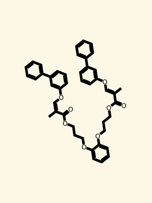 CC(=COc1cccc(-c2ccccc2)c1)C(=O)OCCCOc1ccccc1OCCCOC(=O)C(C)=COc1cccc(-c2ccccc2)c1